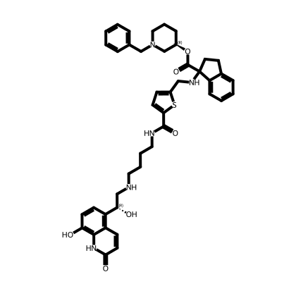 O=C(NCCCCNC[C@H](O)c1ccc(O)c2[nH]c(=O)ccc12)c1ccc(CNC2(C(=O)O[C@@H]3CCCN(Cc4ccccc4)C3)CCc3ccccc32)s1